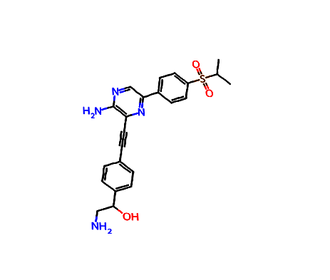 CC(C)S(=O)(=O)c1ccc(-c2cnc(N)c(C#Cc3ccc(C(O)CN)cc3)n2)cc1